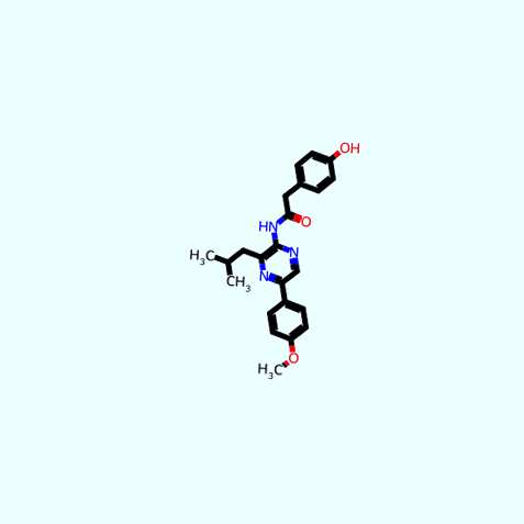 COc1ccc(-c2cnc(NC(=O)Cc3ccc(O)cc3)c(CC(C)C)n2)cc1